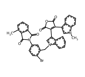 Cc1cccc2c1C(=O)N(c1ccc(Br)c(Cn3cc(C4=C(c5cn(C)c6ccccc56)C(=O)OC4=O)c4ccccc43)c1)C2=O